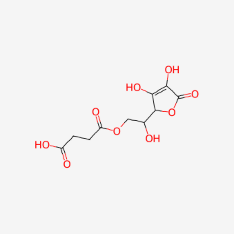 O=C(O)CCC(=O)OCC(O)C1OC(=O)C(O)=C1O